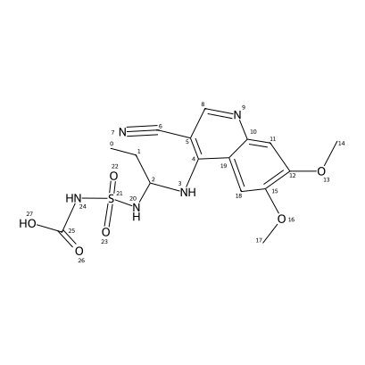 CCC(Nc1c(C#N)cnc2cc(OC)c(OC)cc12)NS(=O)(=O)NC(=O)O